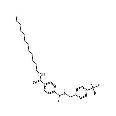 CCCCCCCCCCCCNC(=O)c1ccc(C(C)NCc2ccc(C(F)(F)F)cc2)cc1